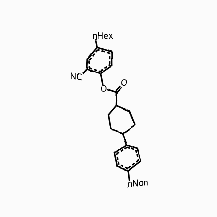 CCCCCCCCCc1ccc(C2CCC(C(=O)Oc3ccc(CCCCCC)cc3C#N)CC2)cc1